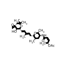 CC(=O)O[C@H](C)/C=C\C(=O)N[C@@H]1C[C@H](C)[C@H](C/C=C(C)/C=C/[C@H]2OC(C)(C)C[C@@]3(CO3)[C@@H]2O)O[C@@H]1C